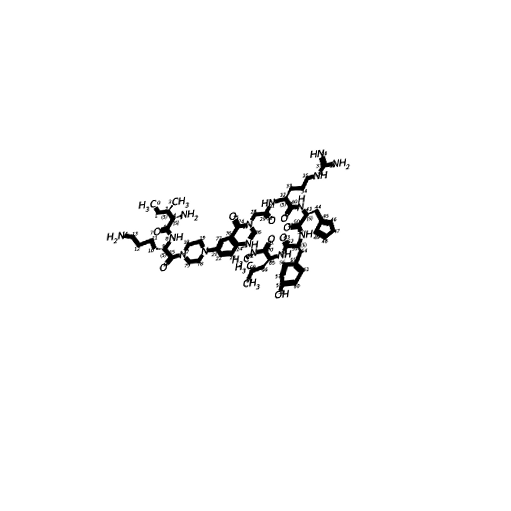 CC[C@H](C)[C@H](N)C(=O)N[C@@H](CCCCN)C(=O)N1CCN(c2ccc3ncn(CC(=O)N[C@@H](CCCNC(=N)N)C(=O)N[C@@H](CC4=CCC=C4)C(=O)N[C@@H](Cc4ccc(O)cc4)C(=O)N[C@@H](CC(C)C)C(=O)NC)c(=O)c3c2)CC1